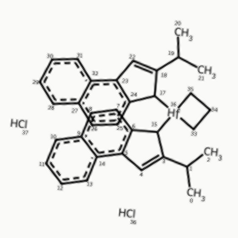 CC(C)C1=Cc2c(ccc3ccccc23)[CH]1[Hf]1([CH]2C(C(C)C)=Cc3c2ccc2ccccc32)[CH2]C[CH2]1.Cl.Cl